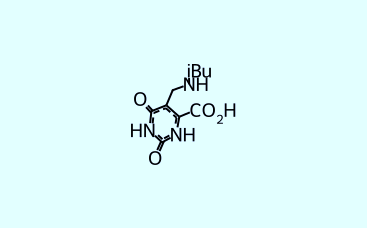 CCC(C)NCc1c(C(=O)O)[nH]c(=O)[nH]c1=O